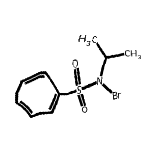 CC(C)N(Br)S(=O)(=O)c1ccccc1